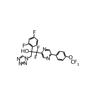 OC(Cn1cnnn1)(c1ccc(F)cc1F)C(F)(F)c1cnc(-c2ccc(OC(F)(F)F)cc2)cn1